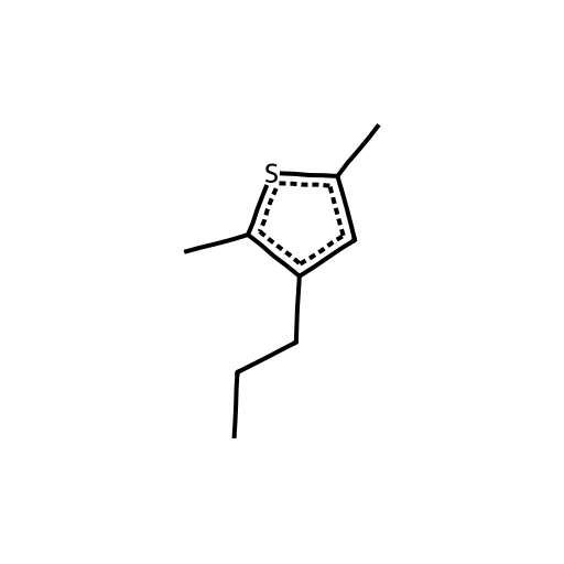 CCCc1cc(C)sc1C